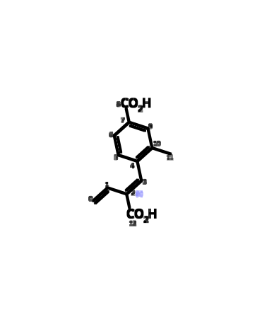 C=C/C(=C\c1ccc(C(=O)O)cc1C)C(=O)O